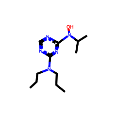 CCCN(CCC)c1ncnc(N(O)C(C)C)n1